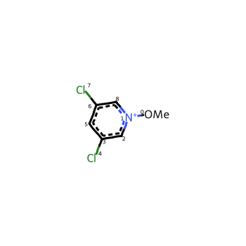 CO[n+]1cc(Cl)cc(Cl)c1